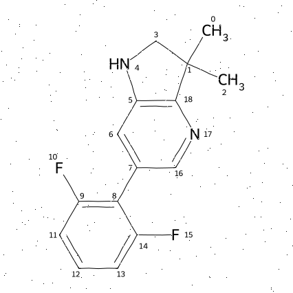 CC1(C)CNc2cc(-c3c(F)cccc3F)cnc21